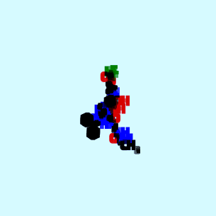 CCNC(=O)NCCNC(=O)c1nc(NCC(c2ccccc2)c2ccccc2)c2ncn([C@@H]3C[C@H](n4cc(COC(=O)C(F)(F)F)cn4)[C@@H](O)[C@H]3O)c2n1